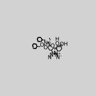 CC[C@H]([C@@H]1CCC(N=[N+]=[N-])C([C@@H]2C(N=[N+]=[N-])CC[C@H](O)[C@H]2O)O1)N(Cc1ccccc1)C(=O)OCc1ccccc1